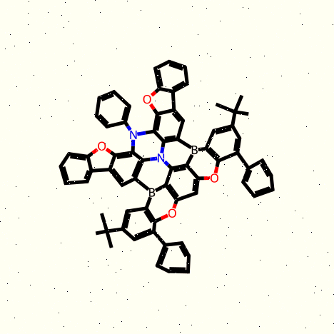 CC(C)(C)c1cc2c(c(-c3ccccc3)c1)Oc1cc3c4c5c1B2c1cc2c(oc6ccccc62)c2c1N5c1c(cc5c(oc6ccccc65)c1N2c1ccccc1)B4c1cc(C(C)(C)C)cc(-c2ccccc2)c1O3